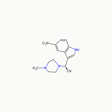 CN1CCN([C@H](C#N)c2c[nH]c3ccc([N+](=O)[O-])cc23)CC1